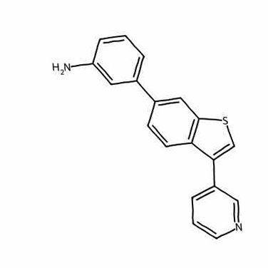 Nc1cccc(-c2ccc3c(-c4cccnc4)csc3c2)c1